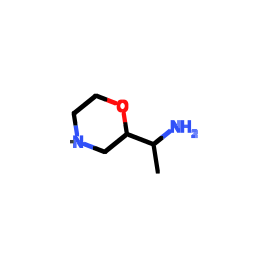 CC(N)C1C[N]CCO1